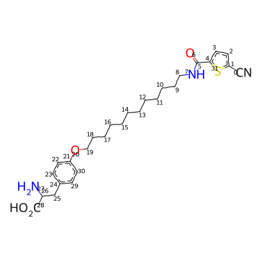 N#Cc1ccc(C(=O)NCCCCCCCCCCCCOc2ccc(CC(N)C(=O)O)cc2)s1